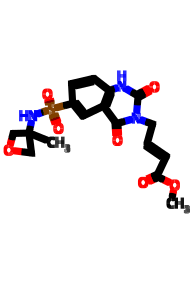 COC(=O)/C=C/Cn1c(=O)[nH]c2ccc(S(=O)(=O)NC3(C)COC3)cc2c1=O